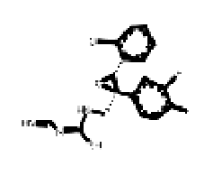 N=C/N=C(/S)NC[C@]1(c2ccc(F)c(F)c2)O[C@@H]1c1ccccc1Cl